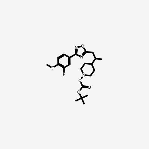 CSc1ccc(-c2noc(CC(C)C3CCN(OC(=O)OC(C)(C)C)CC3)n2)cc1F